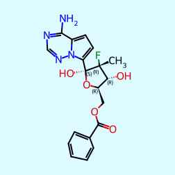 C[C@@]1(F)[C@H](O)[C@@H](COC(=O)c2ccccc2)O[C@@]1(O)c1ccc2c(N)ncnn12